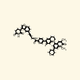 Cc1cc2c(N3CCCc4cc(-c5ccc(C(=O)NCC#Cc6ccc7occ(C8CCC(=O)NC8=O)c7c6)nc5)c(F)cc43)cc(C3CCOCC3)cc2n(C)c1=O